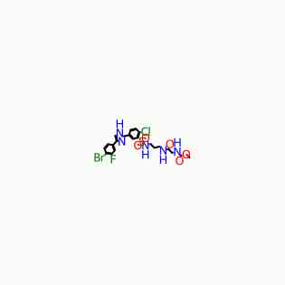 COC(=O)NCC(=O)NCCCNS(=O)(=O)c1cc(-c2nc(-c3ccc(Br)c(F)c3)c[nH]2)ccc1Cl